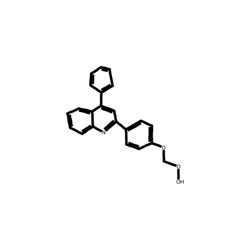 OOCOc1ccc(-c2cc(-c3ccccc3)c3ccccc3n2)cc1